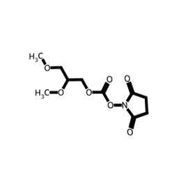 COCC(COC(=O)ON1C(=O)CCC1=O)OC